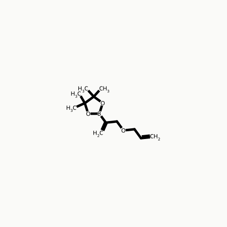 C=CCOCC(=C)B1OC(C)(C)C(C)(C)O1